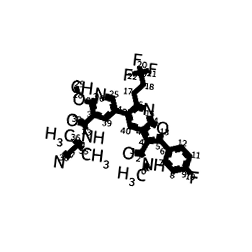 CNC(=O)c1c(-c2ccc(F)cc2)oc2nc(CCC(F)(F)F)c(-c3cnc(OC)c(C(=O)NC(C)(C)C#N)c3)cc12